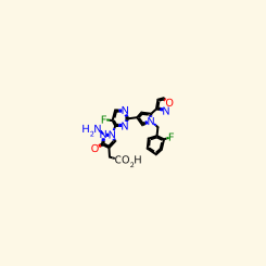 Nn1c(=O)c(CC(=O)O)cn1-c1nc(-c2cc(-c3ccon3)n(Cc3ccccc3F)c2)ncc1F